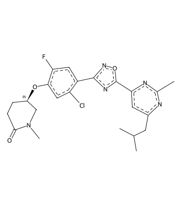 Cc1nc(CC(C)C)cc(-c2nc(-c3cc(F)c(O[C@@H]4CCC(=O)N(C)C4)cc3Cl)no2)n1